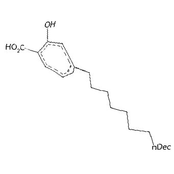 CCCCCCCCCCCCCCCCCc1ccc(C(=O)O)c(O)c1